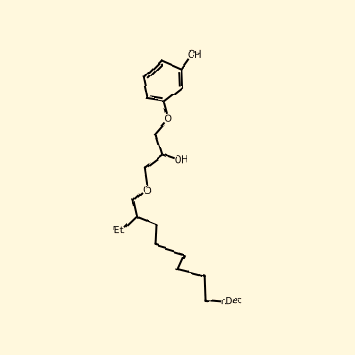 CCCCCCCCCCCCCCCCC(CC)COCC(O)COc1cccc(O)c1